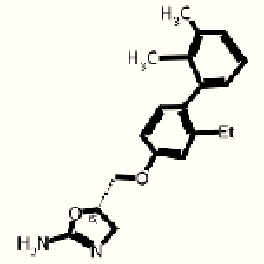 CCc1cc(OC[C@@H]2CN=C(N)O2)ccc1-c1cccc(C)c1C